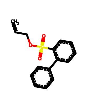 C=CCOS(=O)(=O)c1ccccc1-c1ccccc1